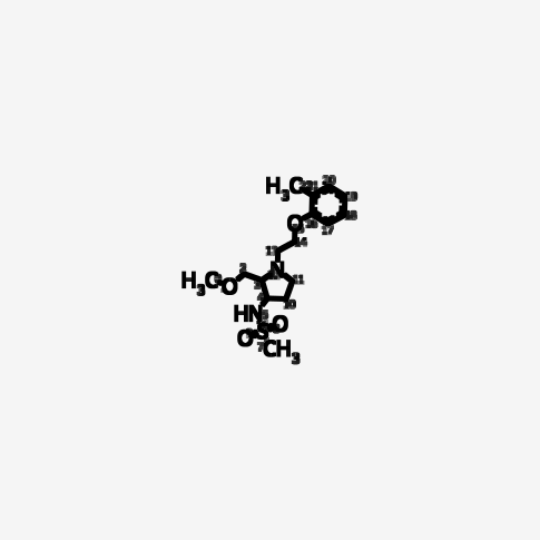 COCC1C(NS(C)(=O)=O)CCN1CCOc1ccccc1C